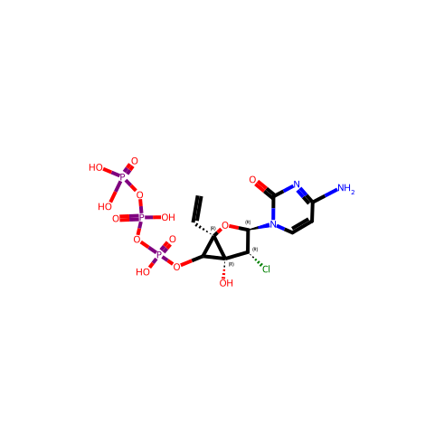 C=C[C@]12O[C@@H](n3ccc(N)nc3=O)[C@H](Cl)[C@@]1(O)C2OP(=O)(O)OP(=O)(O)OP(=O)(O)O